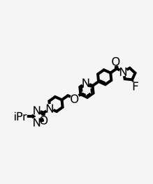 CC(C)c1noc(N2CCC(COc3ccc(C4=CCC(C(=O)N5CC[C@@H](F)C5)CC4)nc3)CC2)n1